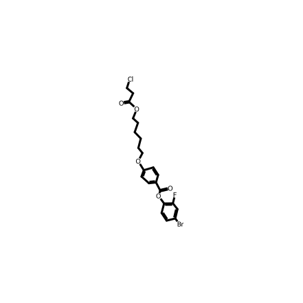 O=C(CCCl)OCCCCCCOc1ccc(C(=O)Oc2ccc(Br)cc2F)cc1